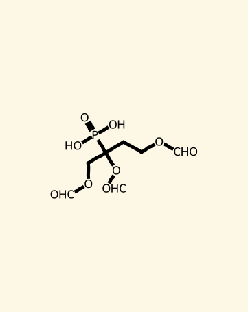 O=COCCC(COC=O)(OC=O)P(=O)(O)O